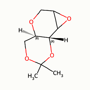 CC1(C)OC[C@H]2OCC3OC3[C@@H]2O1